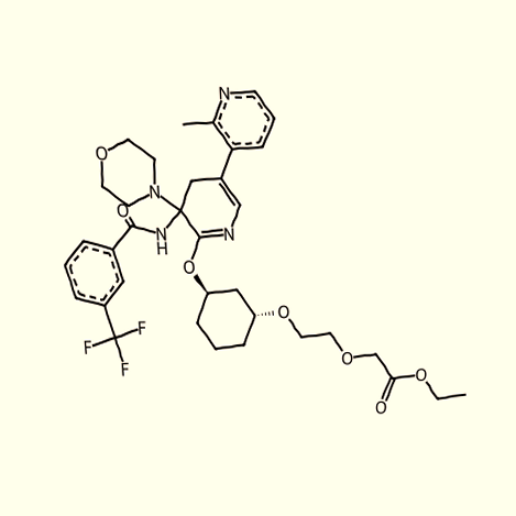 CCOC(=O)COCCO[C@@H]1CCC[C@@H](OC2=NC=C(c3cccnc3C)CC2(NC(=O)c2cccc(C(F)(F)F)c2)N2CCOCC2)C1